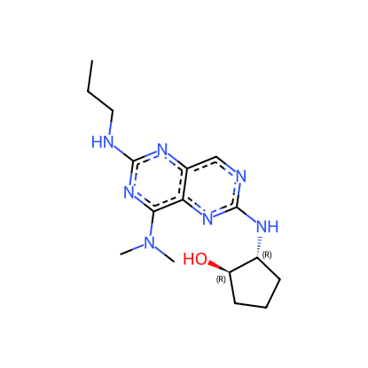 CCCNc1nc(N(C)C)c2nc(N[C@@H]3CCC[C@H]3O)ncc2n1